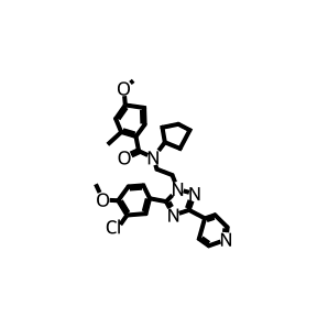 COc1ccc(C(=O)N(CCn2nc(-c3ccncc3)nc2-c2ccc(OC)c(Cl)c2)C2CCCC2)c(C)c1